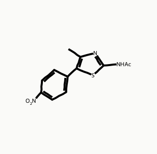 CC(=O)Nc1nc(C)c(-c2ccc([N+](=O)[O-])cc2)s1